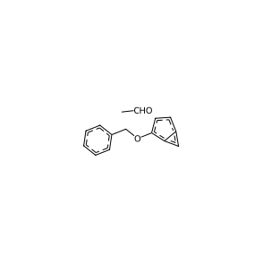 CC=O.c1ccc(COc2ccc3cc2-3)cc1